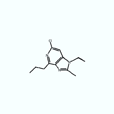 CCCc1nc(Cl)cc2c1nc(C)n2CC